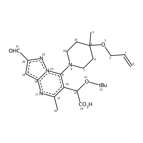 C=CCOC1(C)CCN(c2c(C(OC(C)(C)C)C(=O)O)c(C)nc3cc(C=O)nn23)CC1